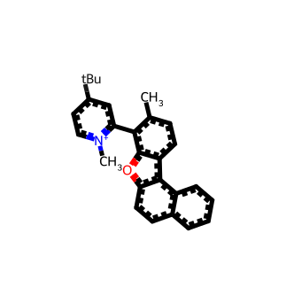 Cc1ccc2c(oc3ccc4ccccc4c32)c1-c1cc(C(C)(C)C)cc[n+]1C